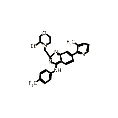 CCC1COCCN1Cc1nc(Nc2ccc(C(F)(F)F)cc2)c2ccc(-c3ncccc3C(F)(F)F)cc2n1